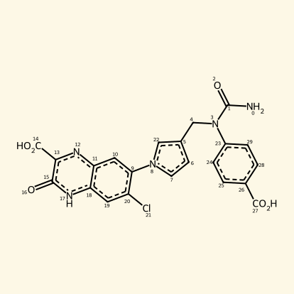 NC(=O)N(Cc1ccn(-c2cc3nc(C(=O)O)c(=O)[nH]c3cc2Cl)c1)c1ccc(C(=O)O)cc1